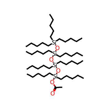 CCCCC[Si](CCCCC)(CCCCC)O[Si](CCCCC)(CCCCC)O[Si](CCCCC)(CCCCC)O[Si](CCCCC)(CCCCC)OC(C)=O